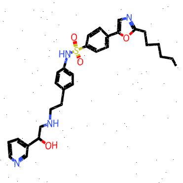 CCCCCCc1ncc(-c2ccc(S(=O)(=O)Nc3ccc(CCNCC(O)c4cccnc4)cc3)cc2)o1